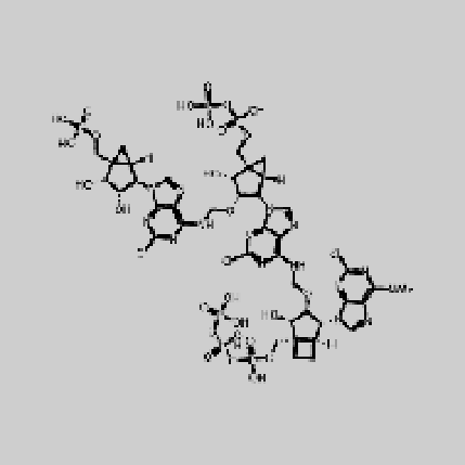 CNc1nc(Cl)nc2c1ncn2[C@H]1[C@H](OCNc2nc(Cl)nc3c2ncn3[C@H]2[C@H](OCNc3nc(Cl)nc4c3ncn4[C@H]3[C@H](O)[C@H](O)[C@]4(COP(=O)(O)O)C[C@H]34)[C@H](O)[C@]3(COP(=O)(O)OP(=O)(O)O)C[C@H]23)[C@H](O)[C@]2(COP(=O)(O)OP(=O)(O)OP(=O)(O)O)CC[C@H]12